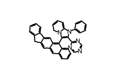 C1=CCN2C(=C1)N(c1ccccc1)C(c1ncncn1)=C2c1c2ccccc2cc2cc3c(cc12)-c1ccccc1C3